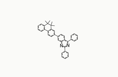 CC1(C)c2ccccc2-c2ccc(-c3ccc4c(-c5ccccc5)nc(-c5ccccc5)nc4c3)cc2C1(C)C